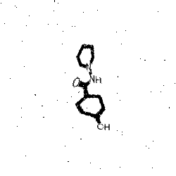 O=C(NN1CCCCC1)C1CCC(O)CC1